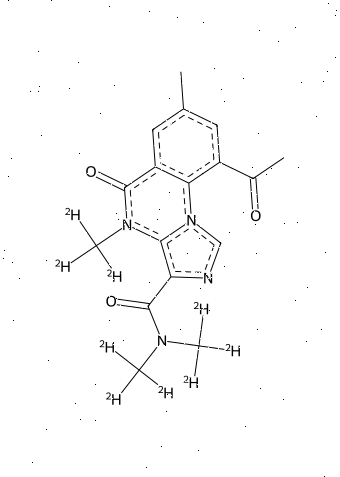 [2H]C([2H])([2H])N(C(=O)c1ncn2c3c(C(C)=O)cc(C)cc3c(=O)n(C([2H])([2H])[2H])c12)C([2H])([2H])[2H]